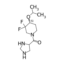 CC(C)O[C@H]1CCN(C(=O)C2CNCN2)CC1(F)F